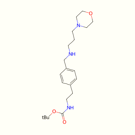 CC(C)(C)OC(=O)NCCc1ccc(CNCCCN2CCOCC2)cc1